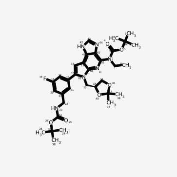 CCN(C(=O)OC(C)(C)C)c1nc2c(cc(-c3cc(F)cc(CNC(=O)OC(C)(C)C)c3)n2C[C@H]2COC(C)(C)O2)c2[nH]cnc12